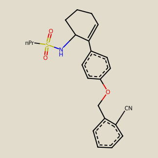 CCCS(=O)(=O)NC1CCCC=C1c1ccc(OCc2ccccc2C#N)cc1